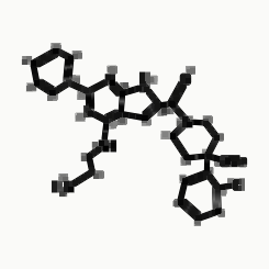 COC1(c2ccccc2Cl)CCN(C(=O)c2cc3c(NCCN)nc(-c4ccccc4)nc3[nH]2)CC1